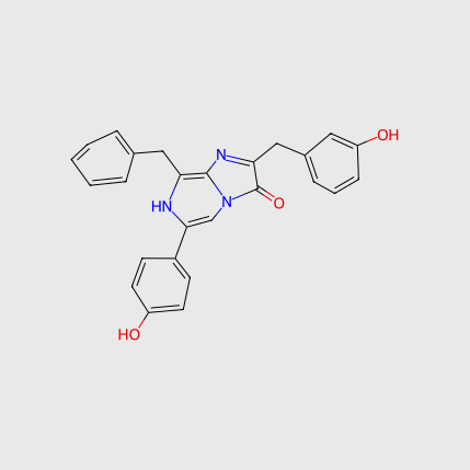 O=c1c(Cc2cccc(O)c2)nc2c(Cc3ccccc3)[nH]c(-c3ccc(O)cc3)cn1-2